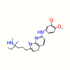 CCC(C)(CCCC1=CCc2ccc(Nc3ccc(OC)c(OC)c3)nc2N1C)NC